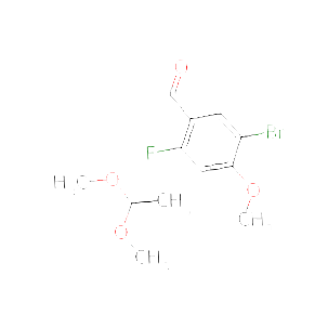 COC(C)OC.COc1cc(F)c(C=O)cc1Br